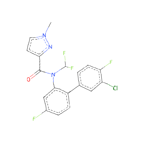 Cn1ccc(C(=O)N(c2cc(F)ccc2-c2ccc(F)c(Cl)c2)C(F)F)n1